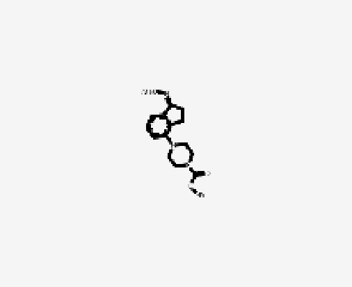 CO/N=C1/CCc2c1cccc2N1CCN(C(=O)OC(C)(C)C)CC1